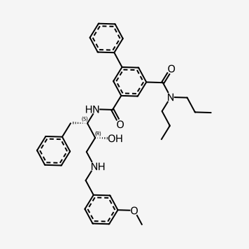 CCCN(CCC)C(=O)c1cc(C(=O)N[C@@H](Cc2ccccc2)[C@H](O)CNCc2cccc(OC)c2)cc(-c2ccccc2)c1